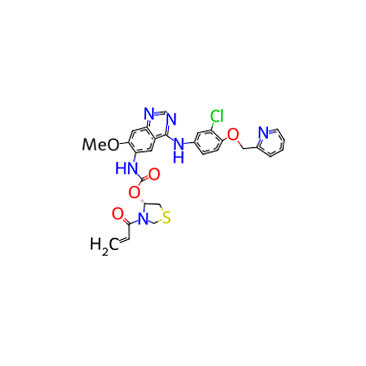 C=CC(=O)N1CSC[C@H]1OC(=O)Nc1cc2c(Nc3ccc(OCc4ccccn4)c(Cl)c3)ncnc2cc1OC